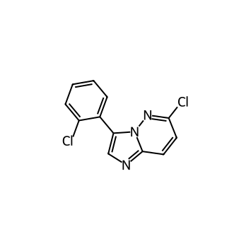 Clc1ccc2ncc(-c3ccccc3Cl)n2n1